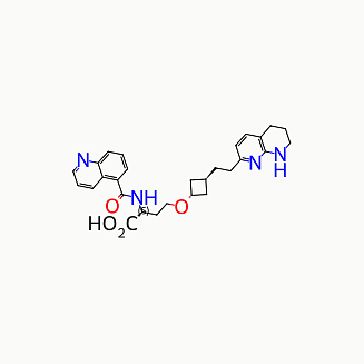 O=C(N[C@@H](CCO[C@H]1C[C@H](CCc2ccc3c(n2)NCCC3)C1)C(=O)O)c1cccc2ncccc12